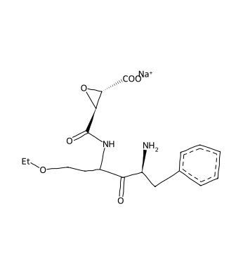 CCOCCC(NC(=O)[C@H]1O[C@@H]1C(=O)[O-])C(=O)[C@@H](N)Cc1ccccc1.[Na+]